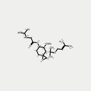 CO[C@H]1[C@H](C(C)(C)OCC=C(C)C)[C@]2(CC[C@H]1OC(=O)CNC(C(C)C)C(C)C)CO2